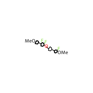 COc1ccc(-c2ccc(OCC3CCC(c4ccc(OC)c(F)c4)CC3)c(F)c2F)cc1